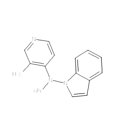 CCCN(c1ccncc1C)n1ccc2ccccc21